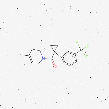 CC1=CCN(C(=O)C2(c3cccc(C(F)(F)F)c3)CC2)CC1